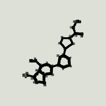 COc1cc(-c2cccc(C3CCN(C(=O)OC(C)(C)C)C3)c2)cc2onc(N)c12